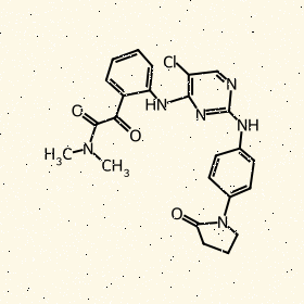 CN(C)C(=O)C(=O)c1ccccc1Nc1nc(Nc2ccc(N3CCCC3=O)cc2)ncc1Cl